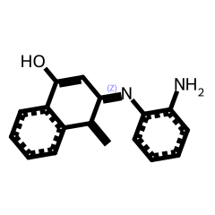 C=C1/C(=N\c2ccccc2N)C=C(O)c2ccccc21